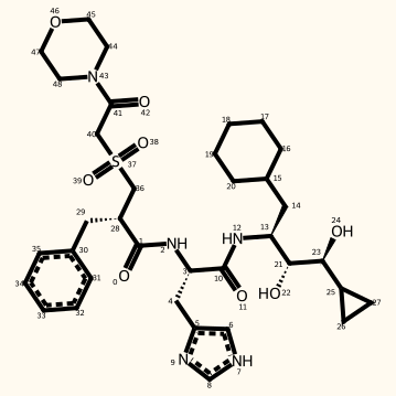 O=C(N[C@@H](Cc1c[nH]cn1)C(=O)N[C@@H](CC1CCCCC1)[C@@H](O)[C@@H](O)C1CC1)[C@H](Cc1ccccc1)CS(=O)(=O)CC(=O)N1CCOCC1